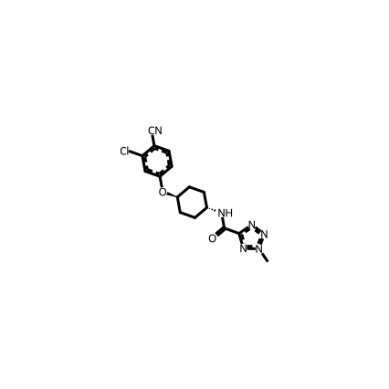 Cn1nnc(C(=O)N[C@H]2CC[C@H](Oc3ccc(C#N)c(Cl)c3)CC2)n1